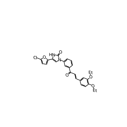 CCOc1ccc(/C=C/C(=O)c2cccc(-n3cc(-c4ccc(Cl)o4)[nH]c3=O)c2)cc1OCC